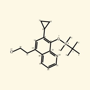 CC(C)(C)[Si](C)(C)Oc1c(C2CC2)cc(CCCl)c2cccnc12